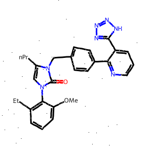 CCCc1cn(-c2c(CC)cccc2OC)c(=O)n1Cc1ccc(-c2ncccc2-c2nnn[nH]2)cc1